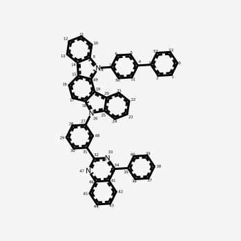 c1ccc(-c2ccc(-n3c4ccccc4c4ccc5c(c6ccccc6n5-c5cccc(-c6nc(-c7ccccc7)c7ccccc7n6)c5)c43)cc2)cc1